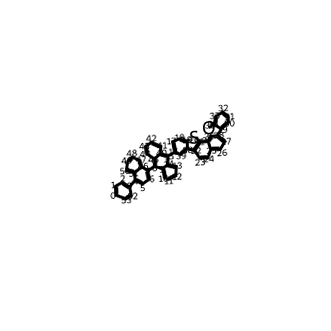 c1ccc(-c2ccc(-c3c4ccccc4c(-c4ccc5sc6c(ccc7ccc8c9ccccc9oc8c76)c5c4)c4ccccc34)c3ccccc23)cc1